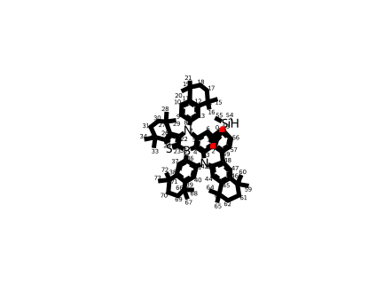 Cc1cc2c3c(c1)N(c1ccc4c(c1)C(C)(C)CCC4(C)C)c1c(sc4c1C(C)(C)CCC4(C)C)B3c1cc3c(cc1N2c1cc2c(cc1-c1ccc([SiH](C)C)cc1)C(C)(C)CCC2(C)C)C(C)(C)CCC3(C)C